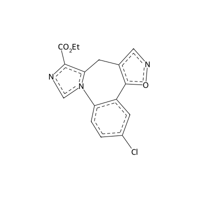 CCOC(=O)c1ncn2c1Cc1cnoc1-c1cc(Cl)ccc1-2